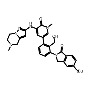 CN1CCn2nc(Nc3cc(-c4cccc(N5Cc6cc(C(C)(C)C)ccc6C5=O)c4CO)cn(C)c3=O)cc2C1